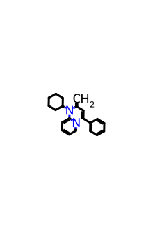 C=C(/C=C/c1ccccc1)N(c1ccccn1)C1CCCCC1